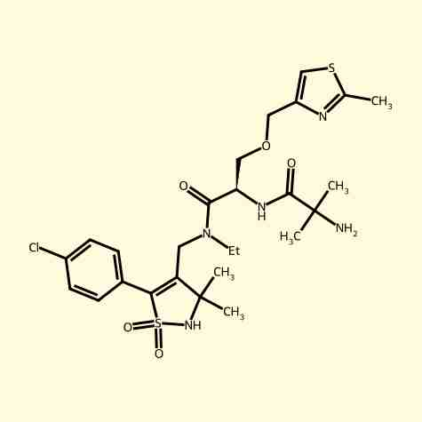 CCN(CC1=C(c2ccc(Cl)cc2)S(=O)(=O)NC1(C)C)C(=O)[C@@H](COCc1csc(C)n1)NC(=O)C(C)(C)N